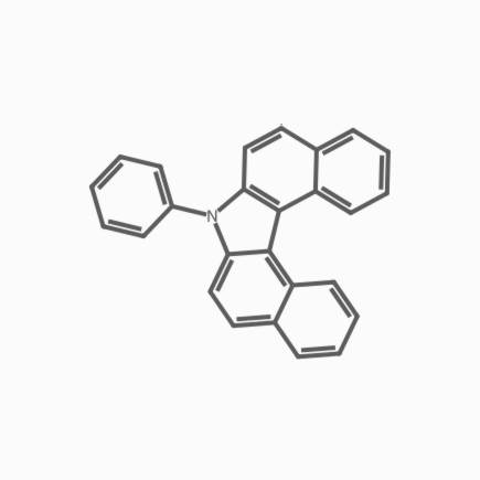 [c]1cc2c(c3ccccc13)c1c3ccccc3ccc1n2-c1ccccc1